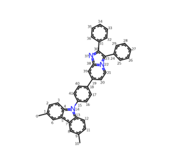 Cc1ccc2c(c1)c1cc(C)ccc1n2-c1ccc(-c2ccn3c(-c4ccccc4)c(-c4ccccc4)nc3c2)cc1